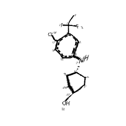 CC(F)(F)c1cc(N[C@H]2CC[C@H](O)CC2)ccc1Cl